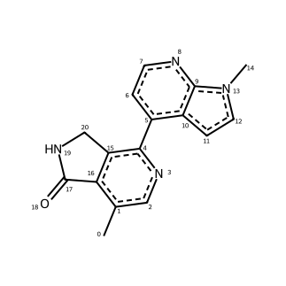 Cc1cnc(-c2ccnc3c2ccn3C)c2c1C(=O)NC2